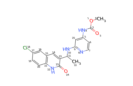 COC(=O)Nc1ccnc(NC(C)c2cc3cc(Cl)ccc3[nH]c2=O)c1